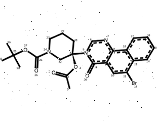 CC(=O)O[C@]1(n2cnc3c(cc(Br)c4ccccc43)c2=O)CCCN(C(=O)OC(C)(C)C)C1